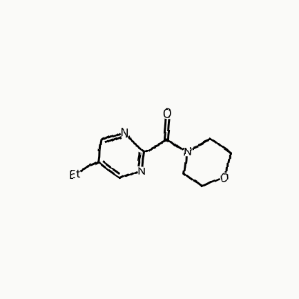 CCc1cnc(C(=O)N2CCOCC2)nc1